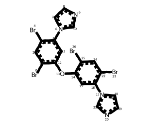 Brc1cc(Br)c(-n2ccnc2)cc1Oc1cc(-n2ccnc2)c(Br)cc1Br